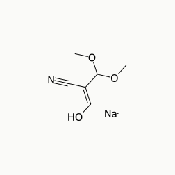 COC(OC)C(C#N)=CO.[Na]